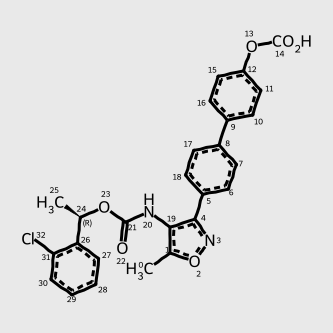 Cc1onc(-c2ccc(-c3ccc(OC(=O)O)cc3)cc2)c1NC(=O)O[C@H](C)c1ccccc1Cl